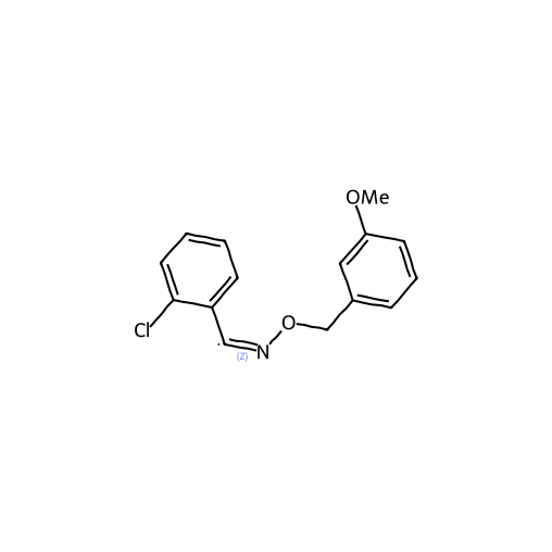 COc1cccc(CO/N=[C]\c2ccccc2Cl)c1